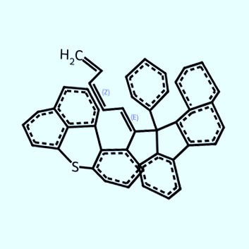 C=C/C=C\C=C(/c1cccc2c1-c1cccc3cccc(c13)S2)C1(c2ccccc2)c2ccccc2-c2ccc3ccccc3c21